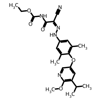 CCOC(=O)NC(=O)C(C#N)=NNc1cc(C)c(Oc2cnc(OC)c(C(C)C)c2)c(C)c1